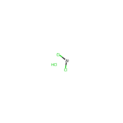 Cl.[Cl][Al][Cl]